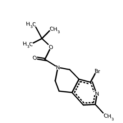 Cc1cc2c(c(Br)n1)CN(C(=O)OC(C)(C)C)CC2